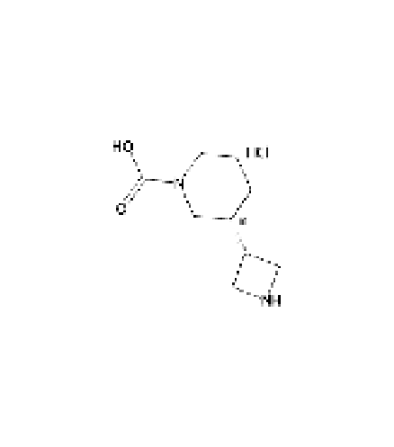 Cl.O=C(O)N1CCC[C@H](C2CNC2)C1